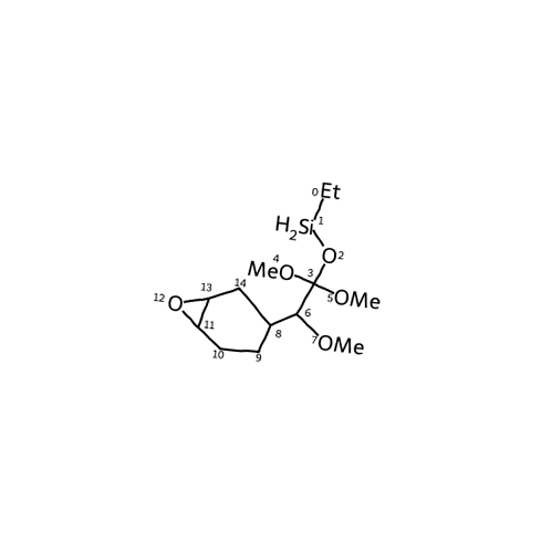 CC[SiH2]OC(OC)(OC)C(OC)C1CCC2OC2C1